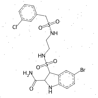 NC(=O)C1Nc2ccc(Br)cc2C1S(=O)(=O)NCCNS(=O)(=O)Cc1cccc(Cl)c1